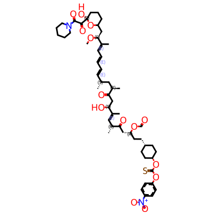 CO[C@@H](CC1CCC[C@](O)(C(=O)C(=O)N2CCCCC2)O1)/C(C)=C/C=C/C=C/[C@@H](C)C[C@@H](C)C(=O)C[C@H](O)/C(C)=C/[C@@H](C)C(=O)C[C@@H](CC[C@H]1CC[C@H](OC(=S)Oc2ccc([N+](=O)[O-])cc2)CC1)OC=O